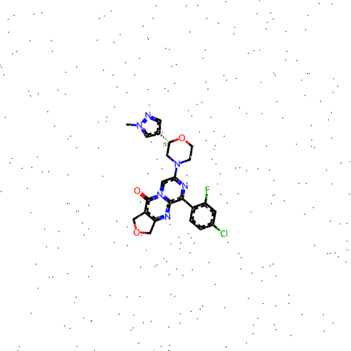 Cn1cc([C@H]2CN(c3cn4c(=O)c5c(nc4c(-c4ccc(Cl)cc4F)n3)COC5)CCO2)cn1